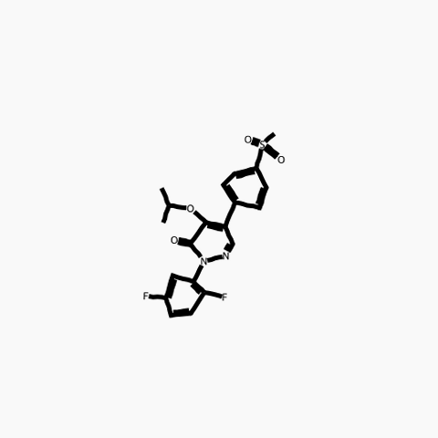 CC(C)Oc1c(-c2ccc(S(C)(=O)=O)cc2)cnn(-c2cc(F)ccc2F)c1=O